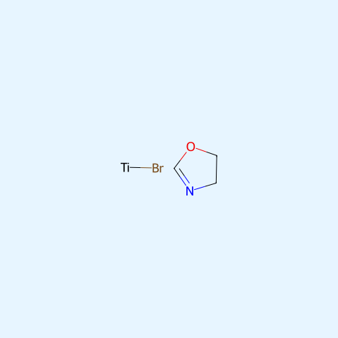 C1=NCCO1.[Ti][Br]